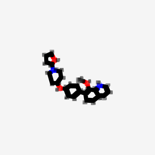 CC(C)Oc1c(-c2ccc(OC3CCN(C4CCCO4)CC3)cc2)ccc2cccnc12